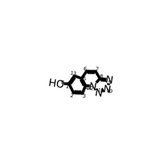 Oc1ccc2c(ccc3nnnn32)c1